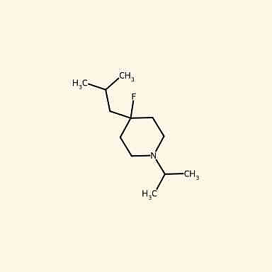 CC(C)CC1(F)CCN(C(C)C)CC1